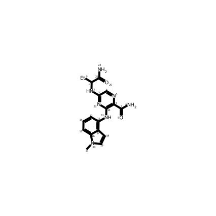 CCC(Nc1cnc(C(N)=O)c(Nc2cccc3c2ccn3C)n1)C(N)=O